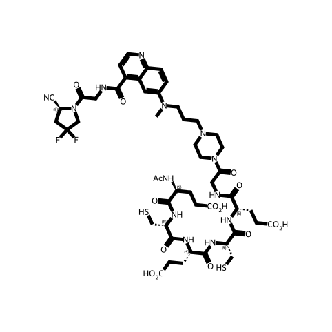 CC(=O)N[C@@H](CCC(=O)O)C(=O)N[C@@H](CS)C(=O)N[C@@H](CCC(=O)O)C(=O)N[C@@H](CS)C(=O)N[C@@H](CCC(=O)O)C(=O)NCC(=O)N1CCN(CCCN(C)c2ccc3nccc(C(=O)NCC(=O)N4CC(F)(F)C[C@H]4C#N)c3c2)CC1